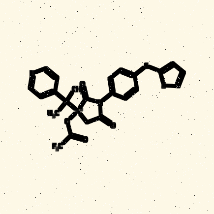 CC(C)(c1ccncc1)[N+]1(OC(=O)C(F)(F)F)CC(=O)N(c2ccc(Sc3cccs3)cc2)C1=O